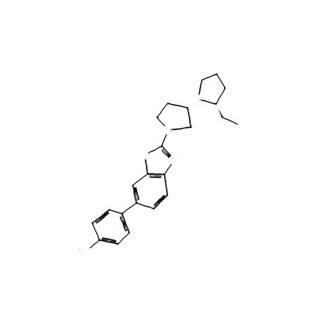 N#Cc1ccc(-c2ccc3nc(N4CC[C@H](N5CCC[C@H]5CO)C4)sc3c2)cc1